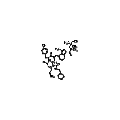 C=CCN1CC(=O)N2[C@@H](Cc3ccc(O)cc3)C(=O)N(Cc3cccc4c(C(=O)N(C)CC(C)(C)CO)cn(C)c34)C[C@@H]2N1C(=O)NCc1ccccc1